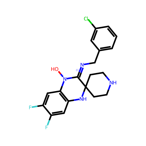 ON1/C(=N/Cc2cccc(Cl)c2)C2(CCNCC2)Nc2cc(F)c(F)cc21